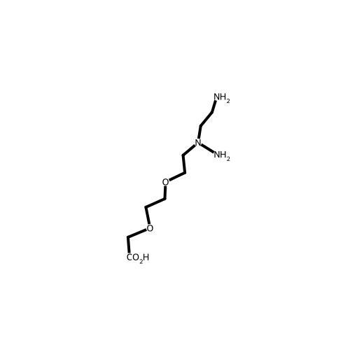 NCCN(N)CCOCCOCC(=O)O